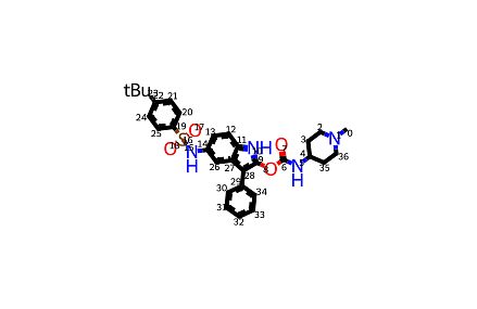 CN1CCC(NC(=O)Oc2[nH]c3ccc(NS(=O)(=O)c4ccc(C(C)(C)C)cc4)cc3c2-c2ccccc2)CC1